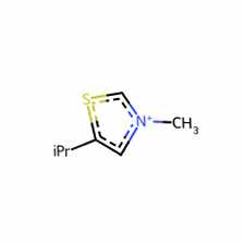 CC(C)c1c[n+](C)cs1